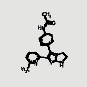 CC(=O)Nc1ccc(-c2c(-c3cccc(C)n3)nc3n2CCN3)cc1